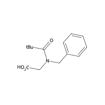 CC(C)(C)C(=O)N(CC(=O)O)Cc1ccccc1